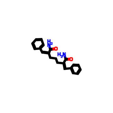 NC(=O)C(=Cc1ccccc1)CCCC(=Cc1ccccc1)C(N)=O